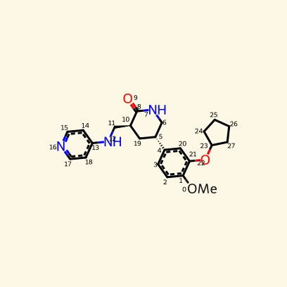 COc1ccc([C@H]2CNC(=O)[C@H](CNc3ccncc3)C2)cc1OC1CCCC1